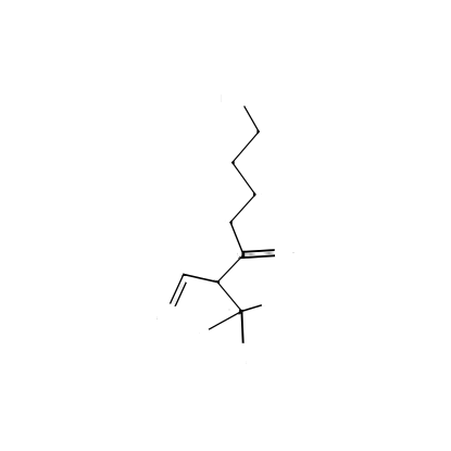 CCCCCC(=O)C([C]=O)C(C)(C)C